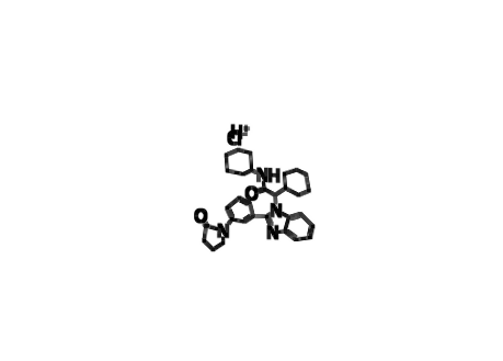 O=C(NC1CCCCC1)C(C1CCCCC1)n1c(-c2cccc(N3CCCC3=O)c2)nc2ccccc21.[Cl-].[H+]